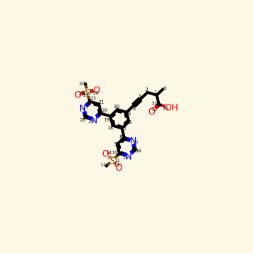 CC(CC#Cc1cc(-c2cc(S(C)(=O)=O)ncn2)cc(-c2cc(S(C)(=O)=O)ncn2)c1)C(=O)O